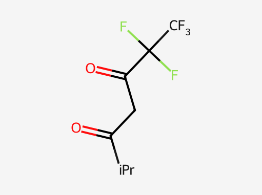 CC(C)C(=O)CC(=O)C(F)(F)C(F)(F)F